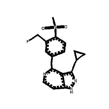 CS(=O)(=O)c1ccc(-c2nccc3[nH]nc(C4CC4)c23)cc1CF